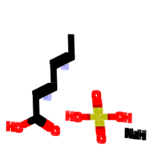 C/C=C/C=C/C(=O)O.O=S(=O)(O)O.[NaH]